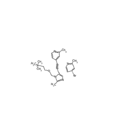 Cc1cc(Br)ccn1.Cc1cc(C#Cc2cnc(C)n2COCC[Si](C)(C)C)ccn1